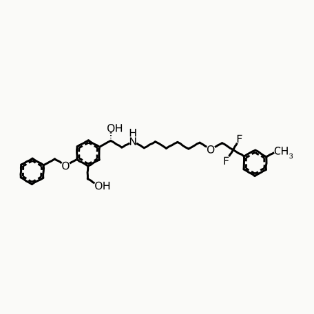 Cc1cccc(C(F)(F)COCCCCCCNC[C@@H](O)c2ccc(OCc3ccccc3)c(CO)c2)c1